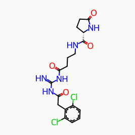 N=C(NC(=O)CCCNC(=O)[C@@H]1CCC(=O)N1)NC(=O)Cc1c(Cl)cccc1Cl